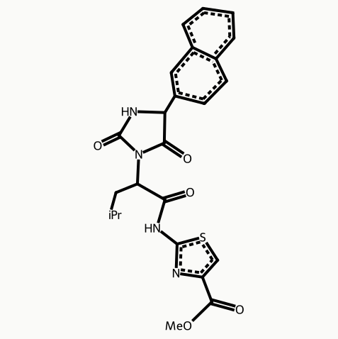 COC(=O)c1csc(NC(=O)C(CC(C)C)N2C(=O)NC(c3ccc4ccccc4c3)C2=O)n1